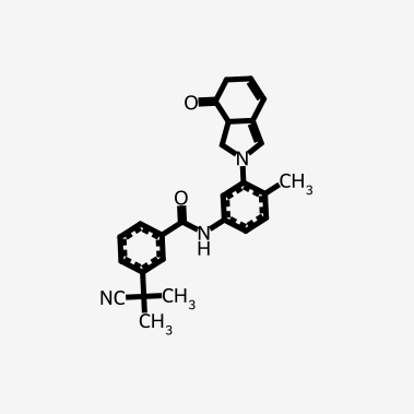 Cc1ccc(NC(=O)c2cccc(C(C)(C)C#N)c2)cc1N1C=C2C=CCC(=O)C2C1